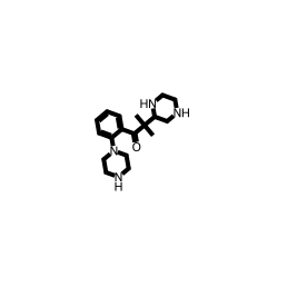 CC(C)(C(=O)c1ccccc1N1CCNCC1)C1CNCCN1